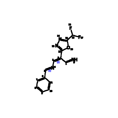 N=C/C(=C\N=C\c1ccccc1)c1nnc(C(F)F)o1